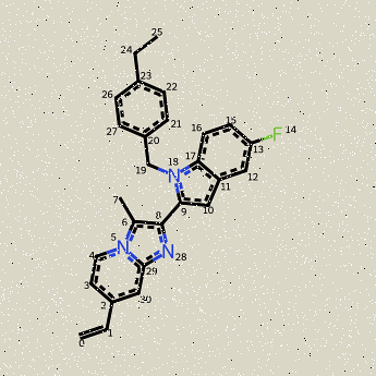 C=Cc1ccn2c(C)c(-c3cc4cc(F)ccc4n3Cc3ccc(CC)cc3)nc2c1